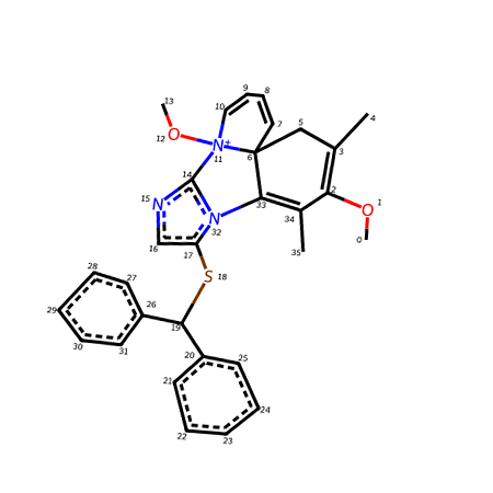 COC1=C(C)CC23C=CC=C[N+]2(OC)c2ncc(SC(c4ccccc4)c4ccccc4)n2C3=C1C